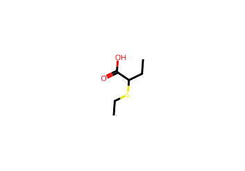 [CH2]CSC(CC)C(=O)O